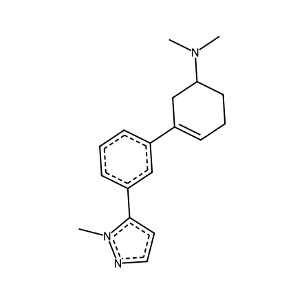 CN(C)C1CCC=C(c2cccc(-c3ccnn3C)c2)C1